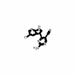 N#Cc1cnc(N)nc1-c1c[nH]c2ncc(Cl)cc12